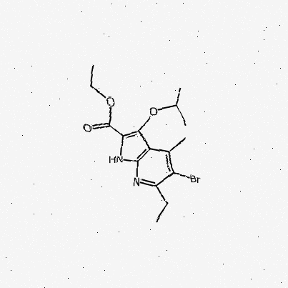 CCOC(=O)c1[nH]c2nc(CC)c(Br)c(C)c2c1OC(C)C